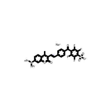 CCCN(CCC)c1ccc2c(C)c(/C=C/c3ccc(C(=O)c4c(F)c(F)c(S(=O)(=O)[O-])c(F)c4F)cc3)c(=O)oc2c1.[Na+]